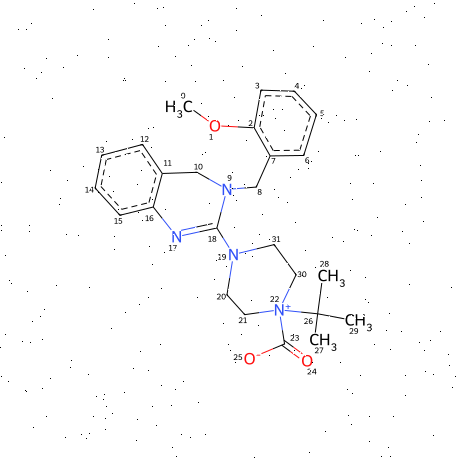 COc1ccccc1CN1Cc2ccccc2N=C1N1CC[N+](C(=O)[O-])(C(C)(C)C)CC1